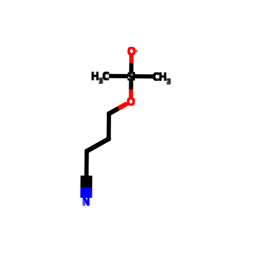 C[Si](C)([O])OCCCC#N